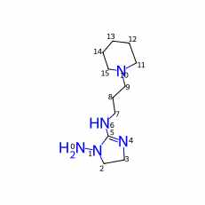 NN1CCN=C1NCCCN1CCCCC1